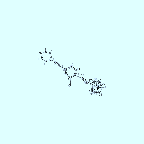 Ic1cc(C#Cc2ccccc2)ccc1C#C[C]12[CH]3[CH]4[CH]5[CH]1[Fe]45321678[CH]2[CH]1[CH]6[CH]7[CH]28